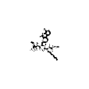 C=CCCCCC[C@H](NC(=O)OC(C)(C)C)C(=O)N1C[C@@]2(CCc3c(c(C)nc4c(F)cccc34)O2)C[C@H]1C(=O)N[C@]1(C(=O)OCC)C[C@H]1C=C